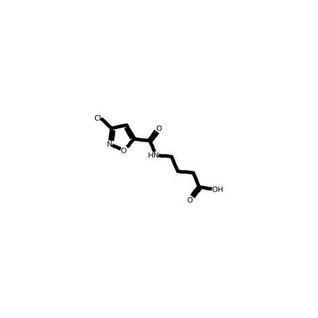 O=C(O)CCCNC(=O)c1cc(Cl)no1